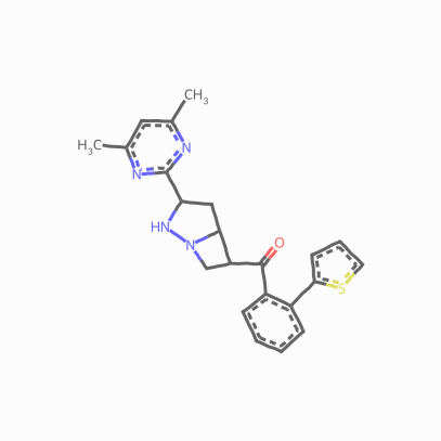 Cc1cc(C)nc(C2CC3C(C(=O)c4ccccc4-c4cccs4)CN3N2)n1